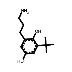 CC(C)(C)c1cc(O)cc(CCCN)c1O